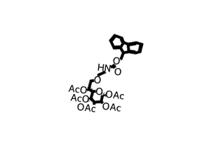 CC(=O)OC1C(OC(C)=O)[C@H](OC(C)=O)C([C@@H](COCCNC(=O)OCC2c3ccccc3-c3ccccc32)OC(C)=O)O[C@H]1OC(C)=O